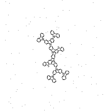 c1ccc2c(c1)sc1c2cc2c3cc4c(cc3n3c5ccc(-n6c7ccc(-n8c9ccccc9c9ccccc98)cc7c7cc(-n8c9ccccc9c9ccccc98)ccc76)cc5c1c23)c1cc2c3ccccc3sc2c2c3cc(-n5c6ccc(-n7c8ccccc8c8ccccc87)cc6c6cc(-n7c8ccccc8c8ccccc87)ccc65)ccc3n4c12